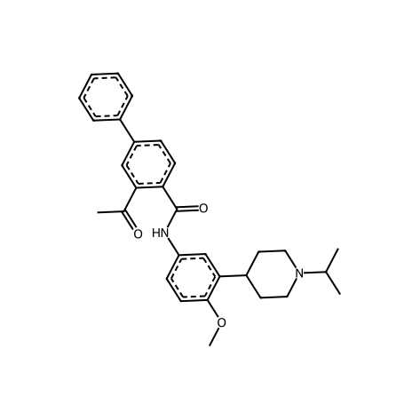 COc1ccc(NC(=O)c2ccc(-c3ccccc3)cc2C(C)=O)cc1C1CCN(C(C)C)CC1